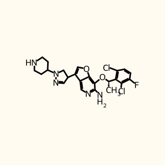 C[C@@H](Oc1c(N)ncc2c(C3C=NN(C4CCNCC4)C3)coc12)c1c(Cl)ccc(F)c1Cl